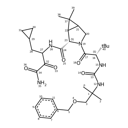 CC(C)(COCc1ccccc1)NC(=O)N[C@H](C(=O)N1CC2C([C@H]1C(=O)NC(CC1CC1)C(=O)C(N)=O)C2(C)C)C(C)(C)C